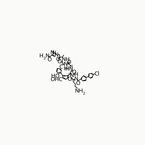 CC(NC(=O)[C@@H]1Cc2ccc(O)c(c2)-c2cc(ccc2C=O)[C@H](N(C)C(=O)[C@H](CCCCN)NC(=O)c2ccc(-c3ccc(Cl)cc3)cc2)C(=O)N[C@@H](C)C(=O)N1)C(=O)Cn1cc(C(N)=O)nn1